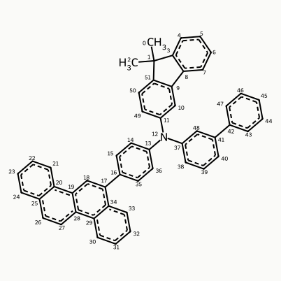 CC1(C)c2ccccc2-c2cc(N(c3ccc(-c4cc5c6ccccc6ccc5c5ccccc45)cc3)c3cccc(-c4ccccc4)c3)ccc21